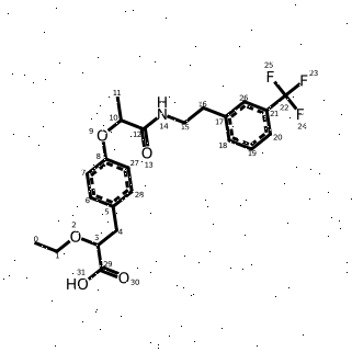 CCOC(Cc1ccc(OC(C)C(=O)NCCc2cccc(C(F)(F)F)c2)cc1)C(=O)O